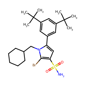 CC(C)(C)c1cc(-c2cc(S(N)(=O)=O)c(Br)n2CC2CCCCC2)cc(C(C)(C)C)c1